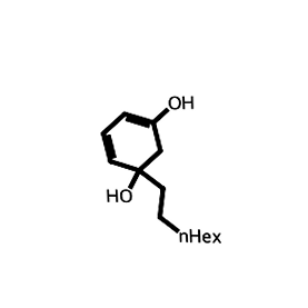 CCCCCCCCC1(O)C=CC=C(O)C1